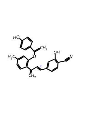 C=C(Oc1cc(C)ccc1C(=C)/C=C/c1ccc(C#N)c(O)c1)c1ccc(O)cc1